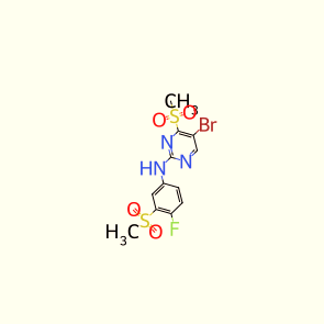 CS(=O)(=O)c1cc(Nc2ncc(Br)c(S(C)(=O)=O)n2)ccc1F